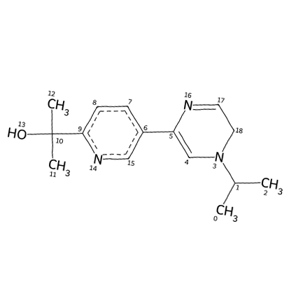 CC(C)N1C=C(c2ccc(C(C)(C)O)nc2)N=CC1